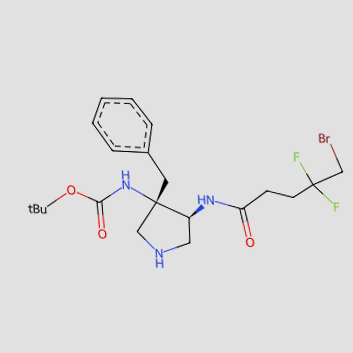 CC(C)(C)OC(=O)N[C@@]1(Cc2ccccc2)CNC[C@@H]1NC(=O)CCC(F)(F)CBr